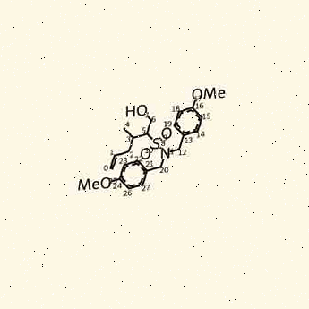 C=CCC(C)C(CO)S(=O)(=O)N(Cc1ccc(OC)cc1)Cc1ccc(OC)cc1